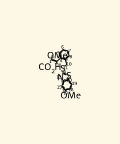 CO/C=C(/C(=O)O)c1ccccc1CSc1nc2cc(OC)ccc2s1